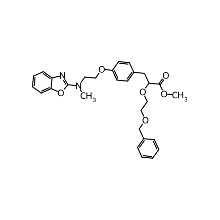 COC(=O)C(Cc1ccc(OCCN(C)c2nc3ccccc3o2)cc1)OCCOCc1ccccc1